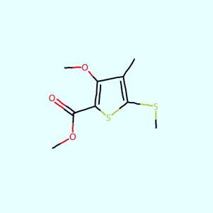 COC(=O)c1sc(SC)c(C)c1OC